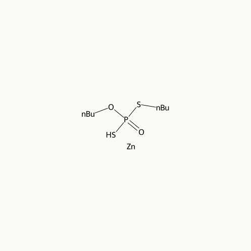 CCCCOP(=O)(S)SCCCC.[Zn]